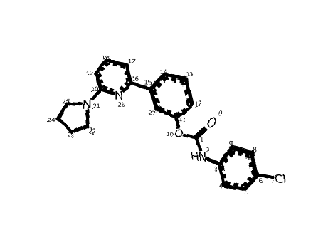 O=C(Nc1ccc(Cl)cc1)Oc1cccc(-c2cccc(N3CCCC3)n2)c1